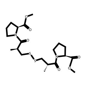 COC(=O)[C@@H]1CCCN1C(=O)[C@H](C)CSSC[C@@H](C)C(=O)N1CCC[C@H]1C(=O)OC